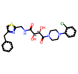 O=C(NCc1nc(Cc2ccccc2)cs1)[C@H](O)[C@@H](O)C(=O)N1CCN(c2ccccc2Cl)CC1